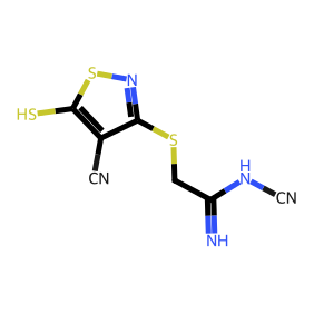 N#CNC(=N)CSc1nsc(S)c1C#N